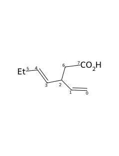 C=CC(C=CCC)CC(=O)O